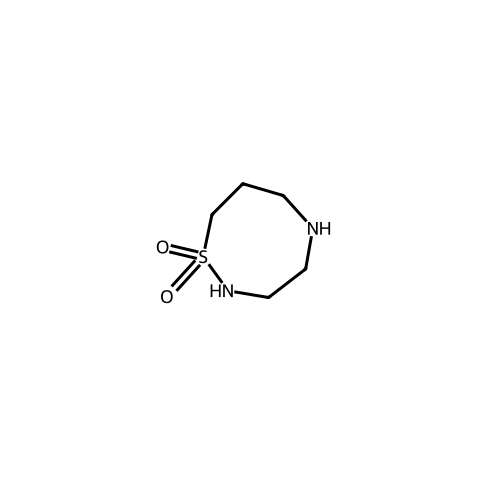 O=S1(=O)CCCNCCN1